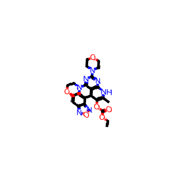 CCOC(=O)OC1=C(C)Nc2nc(N3CCOCC3)nc(N3CCOCC3)c2C1c1cccc2nonc12